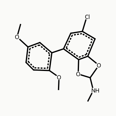 CNC1Oc2cc(Cl)cc(-c3cc(OC)ccc3OC)c2O1